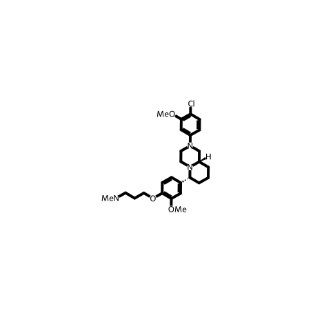 CNCCCOc1ccc([C@H]2CCC[C@H]3CN(c4ccc(Cl)c(OC)c4)CCN32)cc1OC